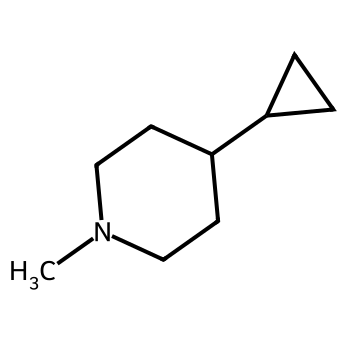 CN1CCC(C2CC2)CC1